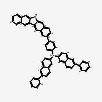 c1ccc(-c2ccc3cc(N(c4ccc(-c5ccc6cc7oc8cc9ccccc9cc8c7cc6c5)cc4)c4ccc5cc(-c6ccccc6)ccc5c4)ccc3c2)cc1